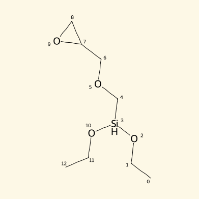 CCO[SiH](COCC1CO1)OCC